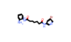 Nc1ccccc1NC(=O)CCCCCC(=O)Nc1cncc(Br)c1